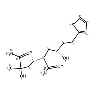 CC(O)(CC[C@H](C[C@@H](O)[CH]Cc1cccs1)C(N)=O)C(N)=O